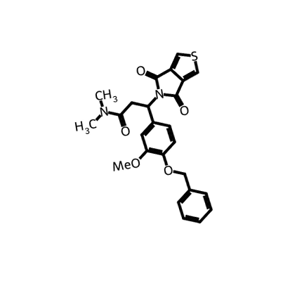 COc1cc(C(CC(=O)N(C)C)N2C(=O)c3cscc3C2=O)ccc1OCc1ccccc1